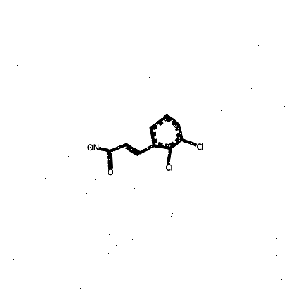 O=NC(=O)/C=C/c1cccc(Cl)c1Cl